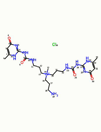 Cc1cc(=O)nc(NC(=O)NCCC[N+](C)(CCCN)CCCNC(=O)Nc2nc(=O)cc(C)[nH]2)[nH]1.[Cl-]